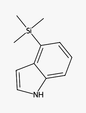 C[Si](C)(C)c1cccc2[nH]ccc12